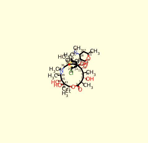 CC[C@H]1OC(=O)[C@H](C)[C@@H](O)[C@H](C)[C@@H](O[C@@H]2O[C@H](C)C[C@H](N(C)C)[C@H]2c2cc(Cl)sc2C(=O)O)[C@](C)(O)C[C@@H](C)CN(C)[C@H](C)[C@@H](O)[C@]1(C)O